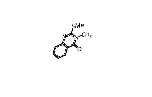 [CH2]Sc1nc2ccccc2c(=O)n1C